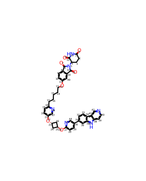 O=C1CCC(N2C(=O)c3ccc(OCCCCCc4ccc(O[C@H]5C[C@H](Oc6ccc(-c7ccc8c(c7)[nH]c7ccncc78)cn6)C5)cn4)cc3C2=O)C(=O)N1